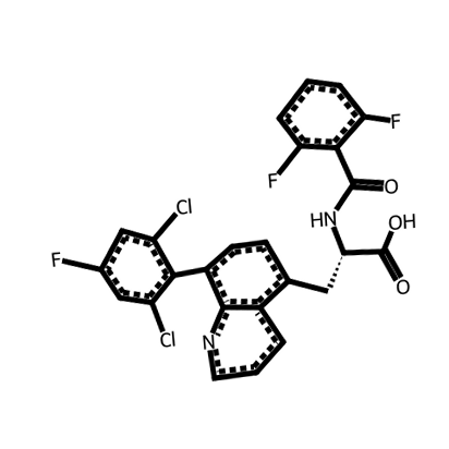 O=C(N[C@@H](Cc1ccc(-c2c(Cl)cc(F)cc2Cl)c2ncccc12)C(=O)O)c1c(F)cccc1F